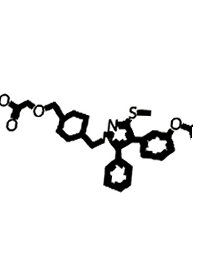 CSc1nn(CC2CCC(COCC(=O)O)CC2)c(-c2ccccc2)c1-c1cccc(OC(C)C)c1